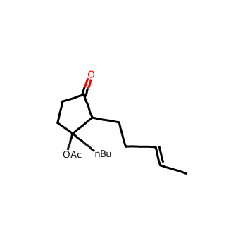 CC=CCCC1C(=O)CCC1(CCCC)OC(C)=O